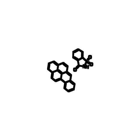 O=C1NS(=O)(=O)c2ccccc21.c1ccc2c(c1)cc1ccc3cccc4ccc2c1c34